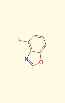 Ic1cccc2o[c]nc12